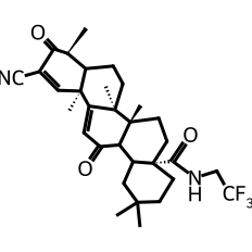 C[C@@H]1C(=O)C(C#N)=C[C@]2(C)C3=CC(=O)C4C5CC(C)(C)CC[C@]5(C(=O)NCC(F)(F)F)CC[C@@]4(C)[C@]3(C)CCC12